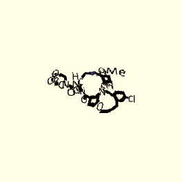 CO[C@H]1/C=C/CCC[S@](=O)(NC(=O)N2CCS(=O)(=O)CC2)=NC(=O)c2ccc3c(c2)N(Cc2ccc(Cl)cc2CCCCO3)C[C@@H]2CC[C@H]21